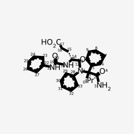 CC(C)C(C(N)=O)(c1ccccc1)N(C(=O)[C@@H](CCC(=O)O)NC(=O)Nc1ccccc1)c1ccccc1